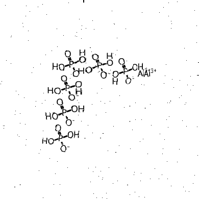 O=P([O-])(O)O.O=P([O-])(O)O.O=P([O-])(O)O.O=P([O-])(O)O.O=P([O-])(O)O.O=P([O-])(O)O.[Al+3].[Al+3]